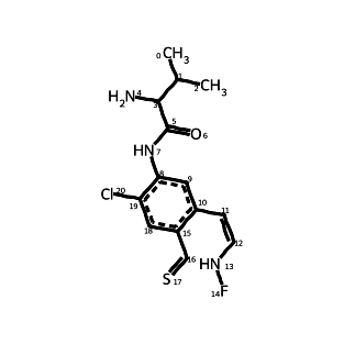 CC(C)C(N)C(=O)Nc1cc(/C=C\NF)c(C=S)cc1Cl